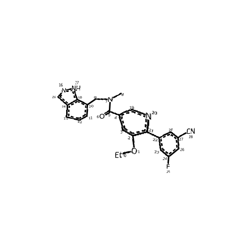 CCOc1cc(C(=O)N(C)Cc2cccc3cn[nH]c23)cnc1-c1cc(F)cc(C#N)c1